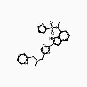 CN(Cc1ccccn1)Cc1cnc(-c2cc3cccc(N(C)S(=O)(=O)c4cccs4)c3[nH]2)s1